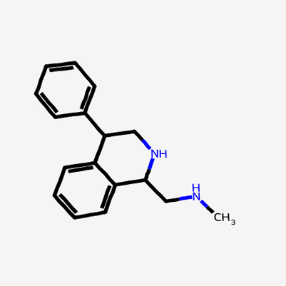 CNCC1NCC(c2ccccc2)c2ccccc21